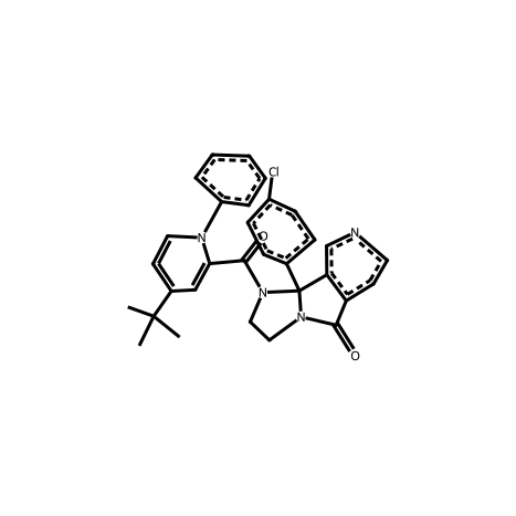 CC(C)(C)C1=C=CN(c2ccccc2)C(C(=O)N2CCN3C(=O)c4ccncc4C23c2ccc(Cl)cc2)=C1